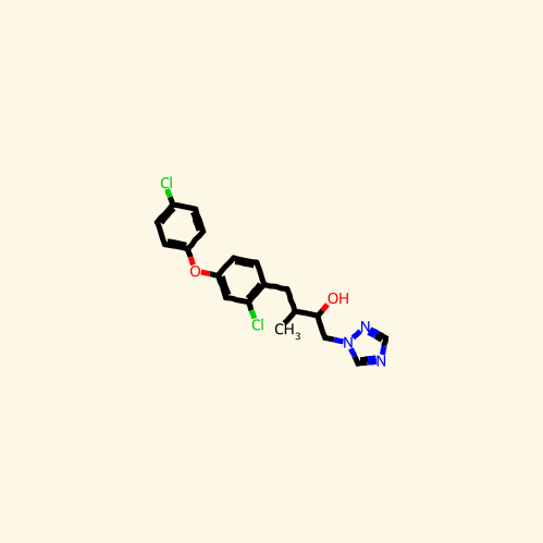 CC(Cc1ccc(Oc2ccc(Cl)cc2)cc1Cl)C(O)Cn1cncn1